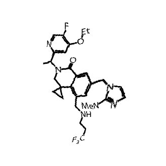 CCOc1cc(C(C)N2CC3(CC3)c3c(CNCCC(F)(F)F)cc(Cn4ccnc4NC)cc3C2=O)ncc1F